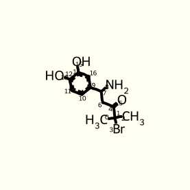 CC(C)(Br)C(=O)CC(N)c1ccc(O)c(O)c1